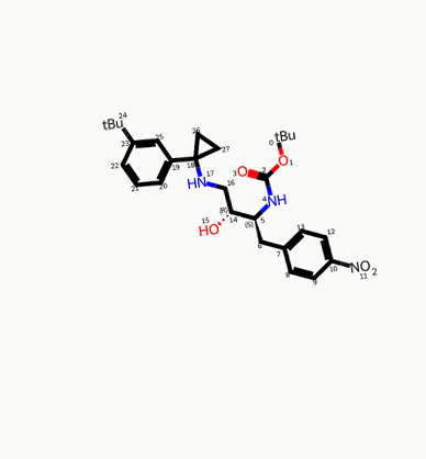 CC(C)(C)OC(=O)N[C@@H](Cc1ccc([N+](=O)[O-])cc1)[C@H](O)CNC1(c2cccc(C(C)(C)C)c2)CC1